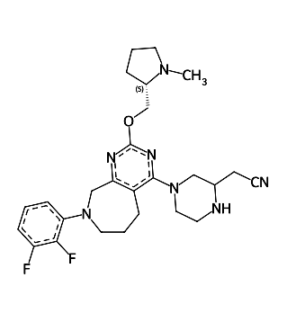 CN1CCC[C@H]1COc1nc2c(c(N3CCNC(CC#N)C3)n1)CCCN(c1cccc(F)c1F)C2